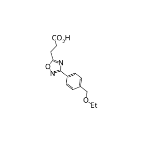 CCOCc1ccc(-c2noc(CCC(=O)O)n2)cc1